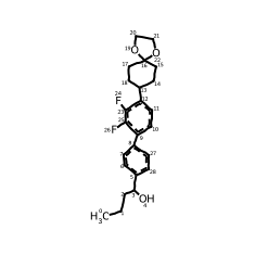 CCCC(O)c1ccc(-c2ccc(C3CCC4(CC3)OCCO4)c(F)c2F)cc1